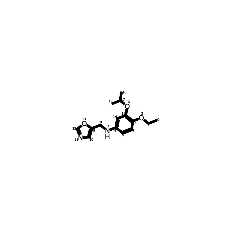 CCOc1ccc(NCc2cnco2)cc1OC(C)C